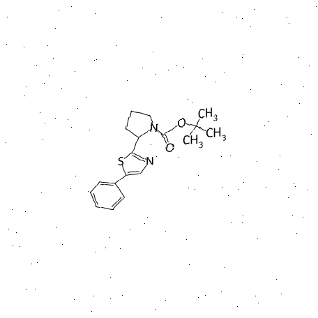 CC(C)(C)OC(=O)N1CCCC1c1ncc(-c2ccccc2)s1